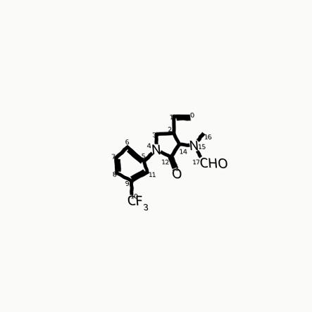 C=CC1CN(c2cccc(C(F)(F)F)c2)C(=O)C1N(C)C=O